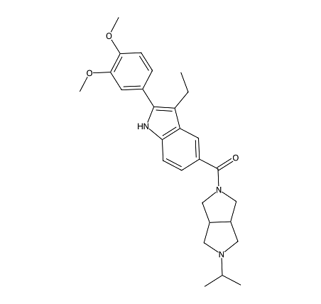 CCc1c(-c2ccc(OC)c(OC)c2)[nH]c2ccc(C(=O)N3CC4CN(C(C)C)CC4C3)cc12